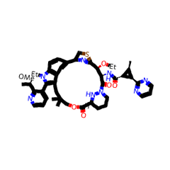 CCO[C@@H]1C2=NC(CS2)c2ccc3c(c2)c(c(-c2cccnc2[C@H](C)OC)n3CC)CC(C)(C)COC(=O)[C@@H]2CCCN(N2)C(=O)[C@H]1NC(=O)[C@@H]1[C@@H](C)[C@H]1c1ncccn1